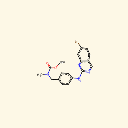 CN(Cc1ccc(Nc2ncc3ccc(Br)cc3n2)cc1)C(=O)OC(C)(C)C